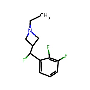 CCN1CC(C(F)c2cccc(F)c2F)C1